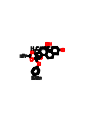 CCCC1OC2CC3C4CCC5=CC(=O)C=CC5(C)C4C(O)CC3(C)C2(C(=O)COc2ccc(NC)cc2)O1